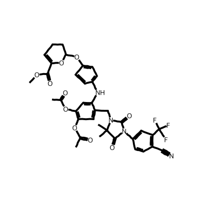 COC(=O)C1=CCCC(Oc2ccc(Nc3cc(OC(C)=O)c(OC(C)=O)cc3CN3C(=O)N(c4ccc(C#N)c(C(F)(F)F)c4)C(=O)C3(C)C)cc2)O1